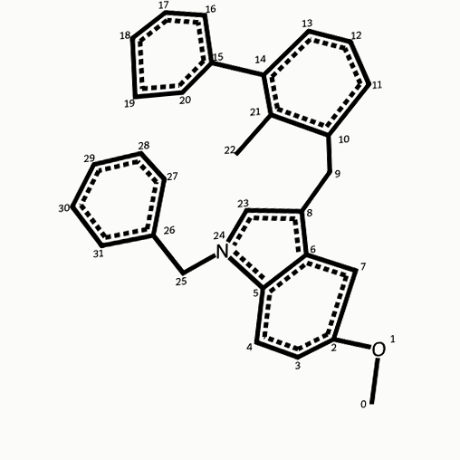 COc1ccc2c(c1)c(Cc1cccc(-c3ccccc3)c1C)cn2Cc1ccccc1